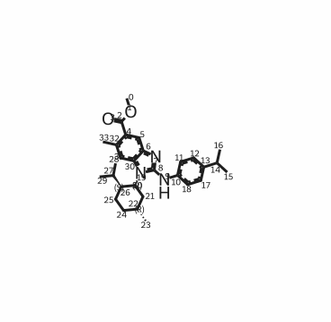 COC(=O)c1cc2nc(Nc3ccc(C(C)C)cc3)n([C@@H]3C[C@H](C)CC[C@H]3C(C)C)c2cc1C